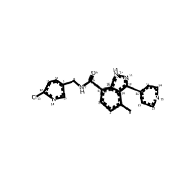 Cc1ccc(C(=O)NCc2ccc(Cl)nc2)c2[nH]nc(-c3ccncc3)c12